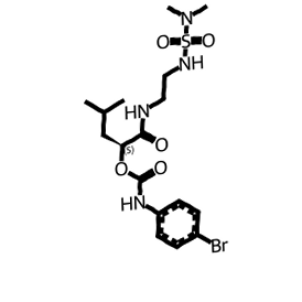 CC(C)C[C@H](OC(=O)Nc1ccc(Br)cc1)C(=O)NCCNS(=O)(=O)N(C)C